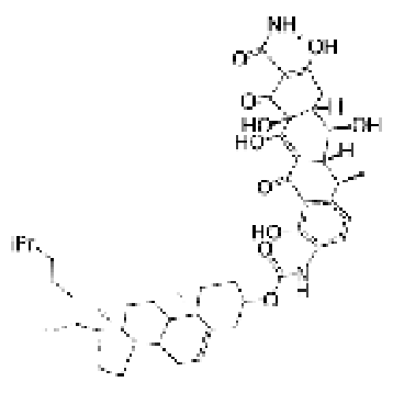 CC(C)CCC[C@@H](C)[C@H]1CCC2C3CC=C4CC(OC(=O)Nc5ccc6c(c5O)C(=O)C5=C(O)[C@]7(O)C(=O)C(C(N)=O)=C(O)C[C@@H]7[C@@H](O)[C@@H]5[C@H]6C)CC[C@]4(C)C3CC[C@@]21C